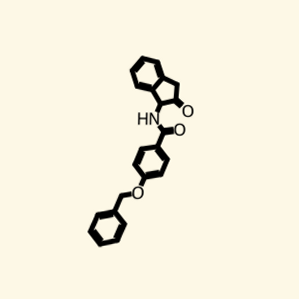 O=C(NC1C(=O)Cc2ccccc21)c1ccc(OCc2ccccc2)cc1